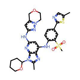 Cc1cnc(-c2ccc(Nc3cc(Nc4cc5n(n4)CCOC5)nc4c3nc(C)n4C3CCCCO3)c(S(C)(=O)=O)c2)s1